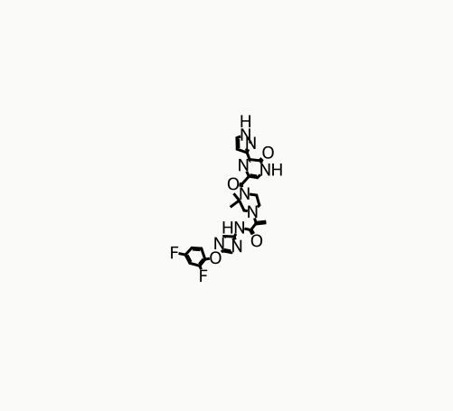 C=C(C(=O)Nc1cnc(Oc2ccc(F)cc2F)cn1)N1CCN(C(=O)c2c[nH]c(=O)c(-c3cc[nH]n3)n2)C(C)(C)C1